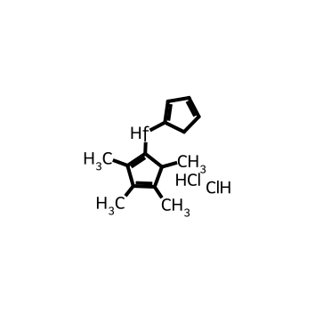 CC1=C(C)C(C)[C]([Hf][C]2=CC=CC2)=C1C.Cl.Cl